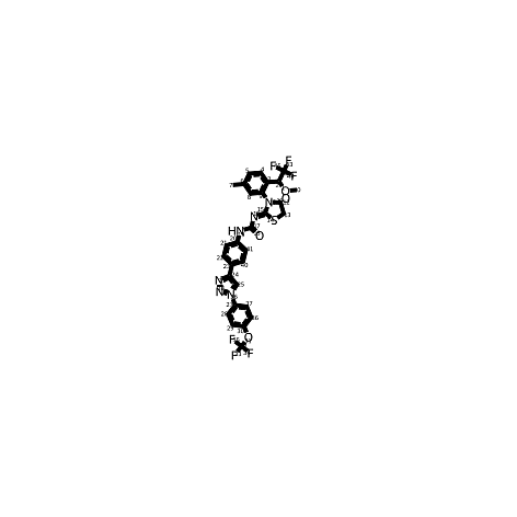 COC(c1ccc(C)cc1N1C(=O)CS/C1=N\C(=O)Nc1ccc(-c2cn(-c3ccc(OC(F)(F)F)cc3)nn2)cc1)C(F)(F)F